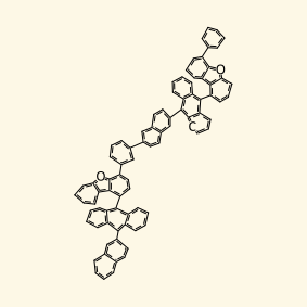 c1ccc(-c2cccc3c2oc2cccc(-c4c5ccccc5c(-c5ccc6cc(-c7cccc(-c8ccc(-c9c%10ccccc%10c(-c%10ccc%11ccccc%11c%10)c%10ccccc9%10)c9c8oc8ccccc89)c7)ccc6c5)c5ccccc45)c23)cc1